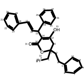 CC(C)CC1(CCc2ccccc2)CC(O)=C(C(C=Cc2ccccc2)c2ccccc2)C(=O)O1